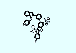 CNC(=O)c1c(-c2ccc(F)cc2)oc2cc(N(C)S(C)(=O)=O)c(-c3cccc(-c4cc5ccccc5n4Cc4ccncc4)c3)cc12